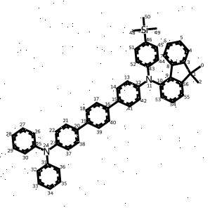 CC1(C)c2ccccc2-c2c(N(c3ccc(-c4ccc(-c5ccc(N(c6ccccc6)c6ccccc6)cc5)cc4)cc3)c3ccc([Si](C)(C)C)cc3)cccc21